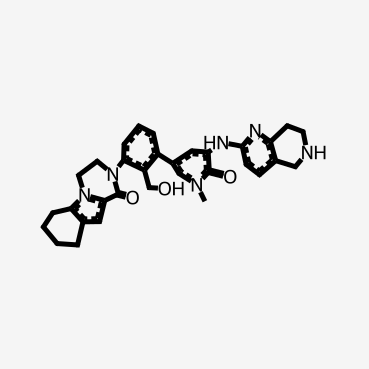 Cn1cc(-c2cccc(N3CCn4c(cc5c4CCCC5)C3=O)c2CO)cc(Nc2ccc3c(n2)CCNC3)c1=O